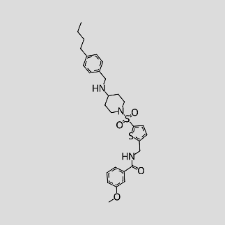 CCCCc1ccc(CNC2CCN(S(=O)(=O)c3ccc(CNC(=O)c4cccc(OC)c4)s3)CC2)cc1